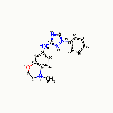 CN1CCOc2cc(Nc3ncn(-c4ccccc4)n3)ccc21